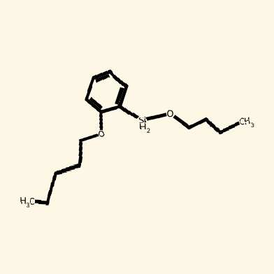 CCCCCOc1ccccc1[SiH2]OCCCC